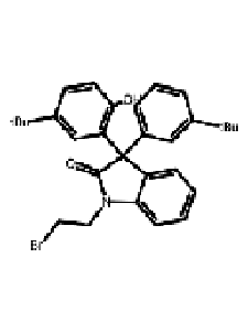 CC(C)(C)c1cccc(C2(c3cc(C(C)(C)C)ccc3O)C(=O)N(CCBr)c3ccccc32)c1